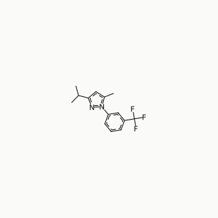 Cc1cc(C(C)C)nn1-c1cccc(C(F)(F)F)c1